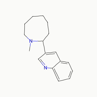 CN1CCCCCCC1c1cnc2ccccc2c1